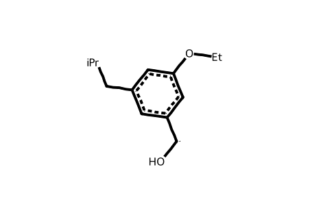 CCOc1cc([CH]O)cc(CC(C)C)c1